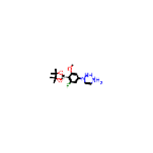 COc1cc(N(N)/C=C\N)cc(F)c1B1OC(C)(C)C(C)(C)O1